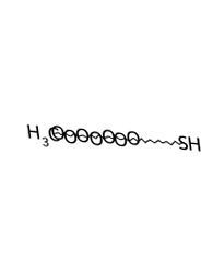 COCCOCCOCCOCCOCCOCCOCCCCCCCCCCCS